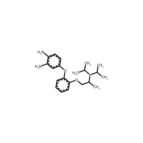 CC(C)N(C(C)C)C(C)COc1ccccc1Oc1ccc(N)c(N)c1